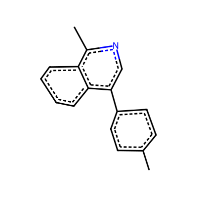 Cc1ccc(-c2cnc(C)c3ccccc23)cc1